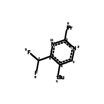 CC(C)c1ncc(C(C)(C)C)c(C(F)F)n1